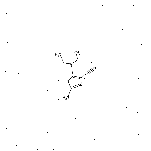 CCN(CC)c1sc(N)nc1C#N